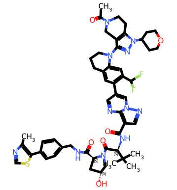 CC(=O)N1CCc2c(c(N3CCCc4cc(-c5cnc6c(C(=O)N[C@H](C(=O)N7C[C@H](O)C[C@H]7C(=O)NCc7ccc(-c8scnc8C)cc7)C(C)(C)C)cnn6c5)c(C(F)F)cc43)nn2C2CCOCC2)C1